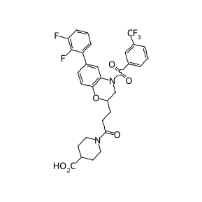 O=C(O)C1CCN(C(=O)CCC2CN(S(=O)(=O)c3cccc(C(F)(F)F)c3)c3cc(-c4cccc(F)c4F)ccc3O2)CC1